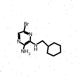 Nc1ncc(Br)nc1NCC1CCCCC1